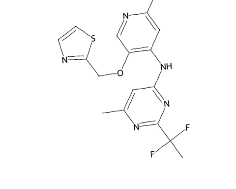 CC(=O)Nc1cc(Nc2cc(C)nc(C(C)(F)F)n2)c(OCc2nccs2)cn1